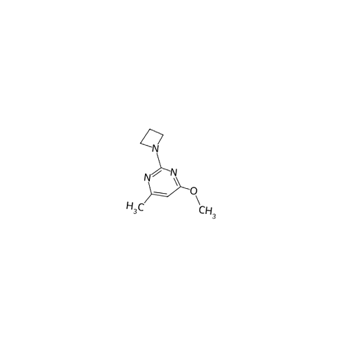 COc1cc(C)nc(N2CCC2)n1